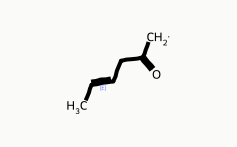 [CH2]C(=O)C/C=C/C